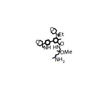 CCN(c1cc(-c2ccc3c(c2)NCC32CCOCC2)cc(C(=O)NCC(C)(C/C=C(/C)N)OC)c1C)C1CCOCC1